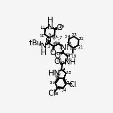 CC(C)(C)NC(=O)C(=O)[C@H](C[C@@H]1CCCNC1=O)NC(=O)[C@H](CC1CCCCC1)NC(=O)C1Cc2c(Cl)cc(Cl)cc2N1